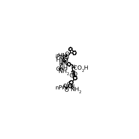 CCCN(CCC)C(=O)C1=Cc2ccc(-c3cccc(S(=O)(=O)N4CC(CN(Cc5ccc(NC(=O)[C@H](CCCNC(N)=O)NC(=O)[C@@H](NC(=O)OCC6c7ccccc7-c7ccccc76)C(C)C)cc5)C(=O)O)C4)c3)cc2N=C(N)C1